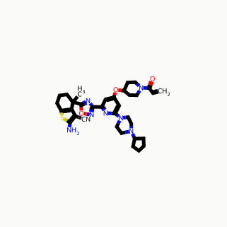 C=CC(=O)N1CCC(Oc2cc(-c3noc(C4(C)CCCc5sc(N)c(C#N)c54)n3)nc(N3CCN(C4CCCC4)CC3)c2)CC1